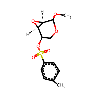 CO[C@H]1OC[C@@H](OS(=O)(=O)c2ccc(C)cc2)[C@H]2O[C@@H]12